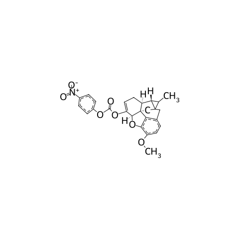 COc1ccc2c3c1O[C@H]1C(OC(=O)Oc4ccc([N+](=O)[O-])cc4)=CC[C@H]4[C@@H]5C(C)C5(C2)C[C@]314